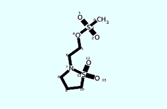 CS(=O)(=O)OCCN1CCCS1(=O)=O